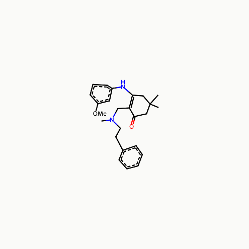 COc1cccc(NC2=C(CN(C)CCc3ccccc3)C(=O)CC(C)(C)C2)c1